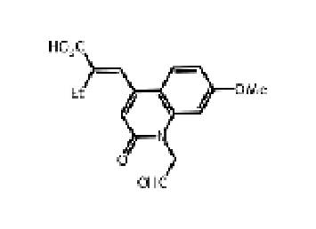 CC/C(=C\c1cc(=O)n(CC=O)c2cc(OC)ccc12)C(=O)O